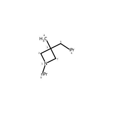 CCCN1CC(C)(CC(C)C)C1